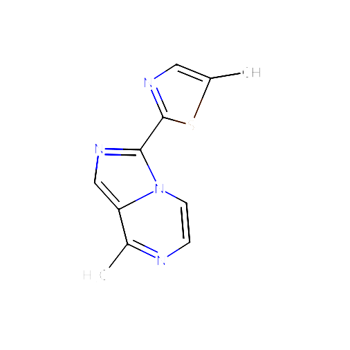 Cc1cnc(-c2ncc3c(C)nccn23)s1